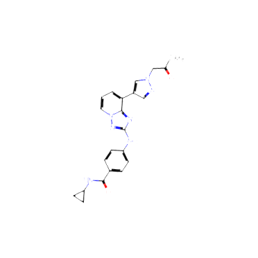 COC(=O)Cn1cc(-c2cccn3nc(Nc4ccc(C(=O)NC5CC5)cc4)nc23)cn1